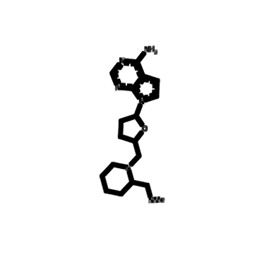 CNCC1CCCCN1CC1CCC(n2ccc3c(N)ncnc32)O1